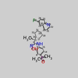 C[C@H](/C(=N/O)Nc1ccc(P(C)(C)=O)cc1)[C@H]1CC[C@@H](c2ccnc3ccc(F)cc32)CC1